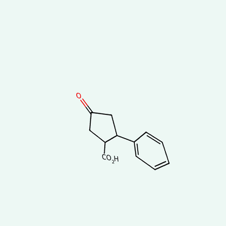 O=C1CC(C(=O)O)C(c2ccccc2)C1